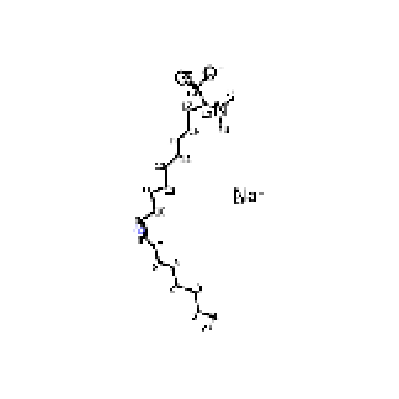 CCCCCCCC/C=C\CCCCCCCCC(C(=O)[O-])N(C)C.[Na+]